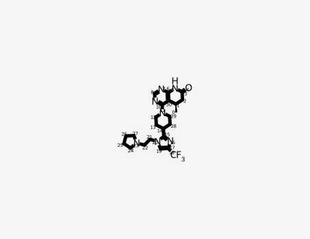 C[C@@H]1CC(=O)Nc2ncnc(N3CCC(c4nc(C(F)(F)F)cn4CCN4CCCC4)CC3)c21